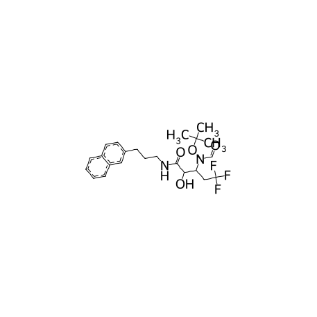 CC(C)(C)ON(C=O)C(CC(F)(F)F)C(O)C(=O)NCCCc1ccc2ccccc2c1